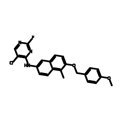 COc1ccc(COc2ccc3cc(Nc4nc(F)ncc4Cl)ccc3c2C)cc1